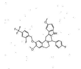 COc1ccc2[nH]c3c(c2c1)CC1c2cc(OCc4ccc(C(F)(F)F)cc4F)c(OC)cc2CCN1C3c1ccc(F)cc1